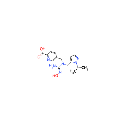 CC(C)n1nccc1CN(Cc1ccc(C(=O)O)nc1)/C(N)=N/O